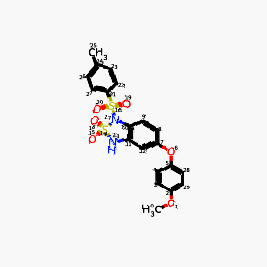 COc1ccc(Oc2ccc3c(c2)NS(=O)(=O)N3S(=O)(=O)c2ccc(C)cc2)cc1